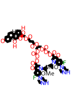 COc1c(N2CCNC(C)C2)c(F)cc2c(=O)c(C(=O)OCOC(=O)OCC(COC(=O)OCOC(=O)c3cn(C4CC4)c4c(OC)c(N5CCNC(C)C5)c(F)cc4c3=O)OC(=O)CCC(=O)OCC(=O)[C@@]3(O)CC[C@H]4[C@@H]5CCC6=CC(=O)CC[C@]6(C)C5[C@@H](O)C[C@@]43C)cn(C3CC3)c12